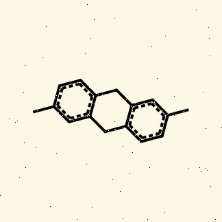 Cc1ccc2c(c1)Cc1ccc(C)cc1C2